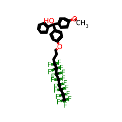 COc1ccc(C(O)(c2ccccc2)c2ccc(OCCCC(F)(F)C(F)(F)C(F)(F)C(F)(F)C(F)(F)C(F)(F)C(F)(F)C(F)(F)F)cc2)cc1